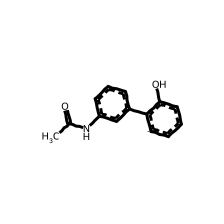 CC(=O)Nc1cccc(-c2[c]cccc2O)c1